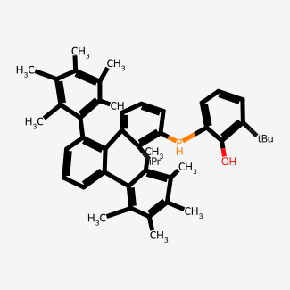 Cc1c(C)c(C)c(-c2cccc(-c3c(C)c(C)c(C)c(C)c3C)c2-c2cccc(Pc3cccc(C(C)(C)C)c3O)c2C(C)C)c(C)c1C